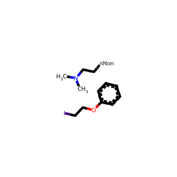 CCCCCCCCCCCN(C)C.ICCOc1ccccc1